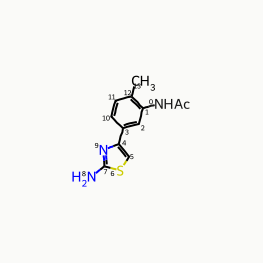 CC(=O)Nc1cc(-c2csc(N)n2)ccc1C